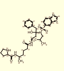 CC(C)CN(C(O)(CCNC(=O)CCCC(C)NC(=O)C1CCCN1)Cc1ccccc1)S(=O)(=O)c1ccc2ncsc2c1